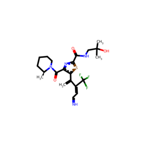 C=C(/C(=C\C=N)C(F)(F)F)c1sc(C(=O)NCC(C)(C)O)nc1C(=O)N1CCCC[C@@H]1C